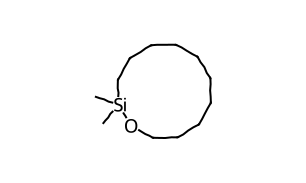 C[Si]1(C)CCCCCCCCCCO1